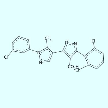 O=C(O)c1c(-c2c(Cl)cccc2Cl)noc1-c1cnn(-c2cccc(Cl)c2)c1C(F)(F)F